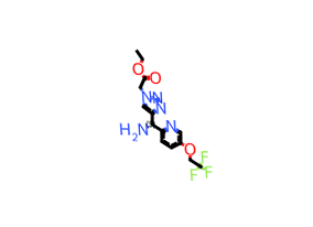 CCOC(=O)Cn1cc([C@@H](N)c2ccc(OCC(F)(F)F)cn2)nn1